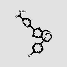 CNC(=O)c1ccc(-c2ccc3c(c2)CN2CCC3(c3ccc(Cl)cc3)CC2)nn1